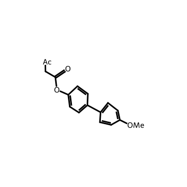 COc1ccc(-c2ccc(OC(=O)CC(C)=O)cc2)cc1